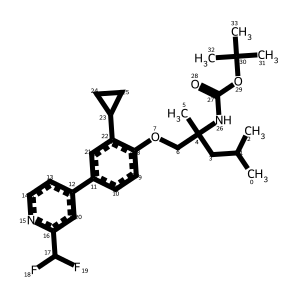 CC(C)CC(C)(COc1ccc(-c2ccnc(C(F)F)c2)cc1C1CC1)NC(=O)OC(C)(C)C